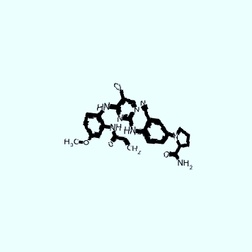 C=CC(=O)Nc1cc(OC)ccc1Nc1nc(Nc2ccc(N3CCCC3C(N)=O)cc2C#N)ncc1Cl